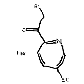 Br.CCc1ccc(C(=O)CBr)nc1